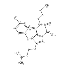 CN(C)CCOc1nc2c(c(=O)n(CCCO)c(=O)n2C)n1Cc1ccc(Cl)cc1